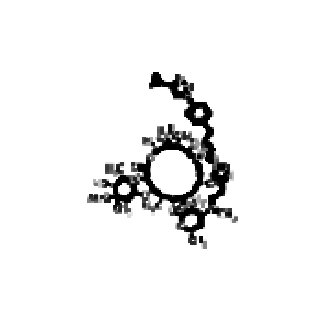 CC[C@H]1OC(=O)[C@H](C)[C@@H](O[C@H]2C[C@@](C)(OC)[C@@H](O)[C@H](C)O2)[C@H](C)[C@@H](O[C@@H]2O[C@H](C)C[C@H](N(C)CCc3cn(CCCCc4ccc(-n5cc(C6CC6)nn5)cc4)nn3)[C@H]2O)[C@](C)(O)C[C@@H](C)CN(C)[C@H](C)[C@@H](O)[C@]1(C)O